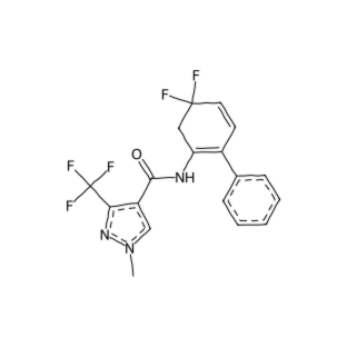 Cn1cc(C(=O)NC2=C(c3ccccc3)C=CC(F)(F)C2)c(C(F)(F)F)n1